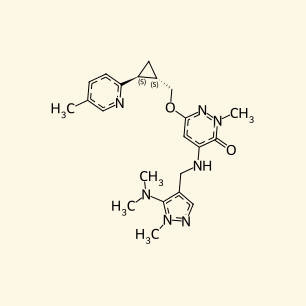 Cc1ccc([C@H]2C[C@@H]2COc2cc(NCc3cnn(C)c3N(C)C)c(=O)n(C)n2)nc1